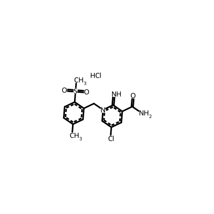 Cc1ccc(S(C)(=O)=O)c(Cn2cc(Cl)cc(C(N)=O)c2=N)c1.Cl